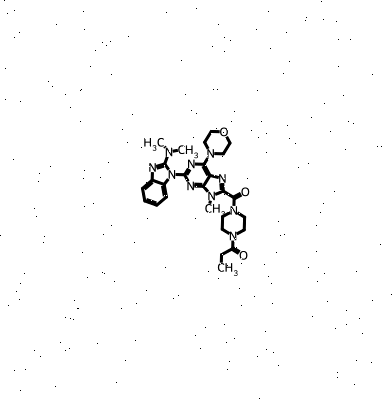 CCC(=O)N1CCN(C(=O)c2nc3c(N4CCOCC4)nc(-n4c(N(C)C)nc5ccccc54)nc3n2C)CC1